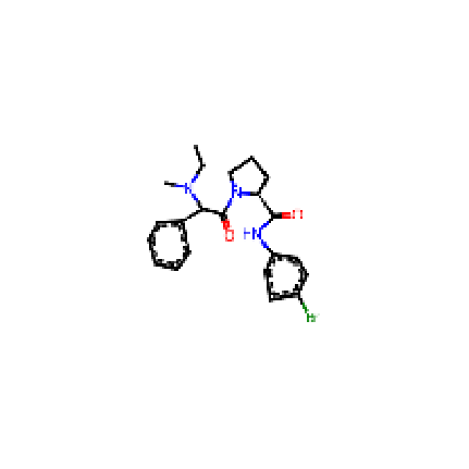 CCN(C)C(C(=O)N1CCC[C@H]1C(=O)Nc1ccc(Br)cc1)c1ccccc1